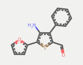 Nc1c(-c2ccco2)sc(C=O)c1-c1ccccc1